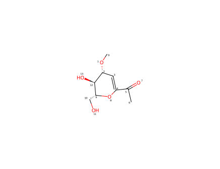 CO[C@@H]1C=C(C(C)=O)O[C@H](CO)[C@H]1O